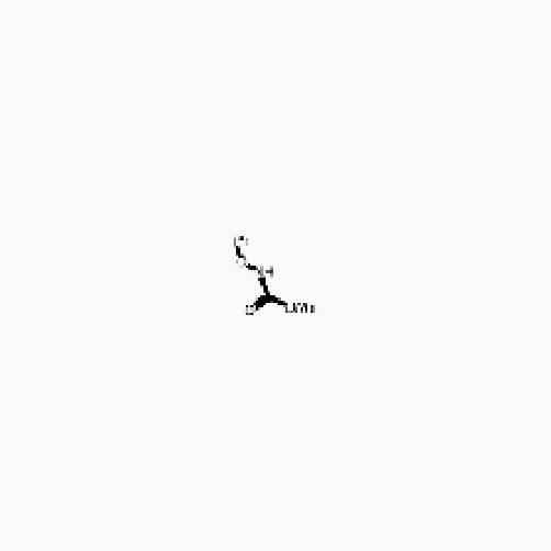 COC(=O)NOC(C)C